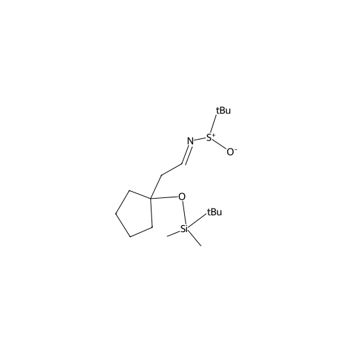 CC(C)(C)[S+]([O-])/N=C/CC1(O[Si](C)(C)C(C)(C)C)CCCC1